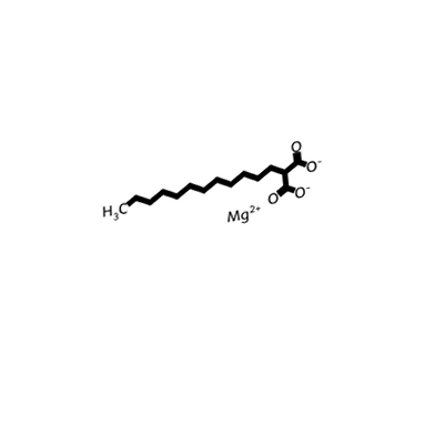 CCCCCCCCCCCCC(C(=O)[O-])C(=O)[O-].[Mg+2]